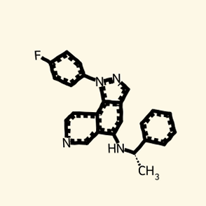 C[C@H](Nc1cc2cnn(-c3ccc(F)cc3)c2c2ccncc12)c1ccccc1